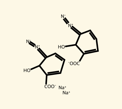 [N-]=[N+]=C1C=CC=C(C(=O)[O-])C1O.[N-]=[N+]=C1C=CC=C(C(=O)[O-])C1O.[Na+].[Na+]